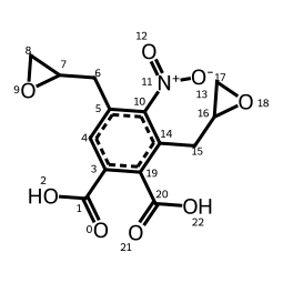 O=C(O)c1cc(CC2CO2)c([N+](=O)[O-])c(CC2CO2)c1C(=O)O